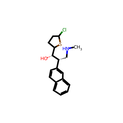 CNC[C@H](c1ccc2ccccc2c1)[C@H](O)C1CCC(Cl)S1